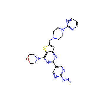 Nc1ncc(-c2nc(N3CCOCC3)c3sc(CN4CCN(c5ncccn5)CC4)cc3n2)cn1